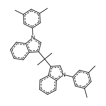 Cc1cc(C)cc(-n2cc(C(C)(C)c3cn(-c4cc(C)cc(C)c4)c4ccccc34)c3ccccc32)c1